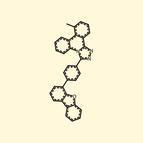 Cc1cccc2c1c1ccccc1n1c(-c3ccc(-c4cccc5c4oc4ccccc45)cc3)nnc21